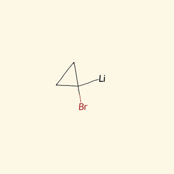 [Li][C]1(Br)CC1